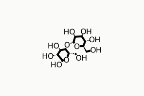 OC[C@@H]1OC(O)[C@H](O)[C@H](O)[C@@H]1O[C@H]1O[C@H](CO)[C@@H](O)[C@H](O)[C@H]1O